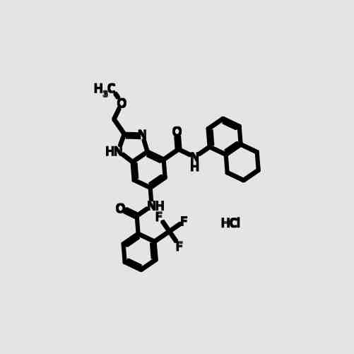 COCc1nc2c(C(=O)Nc3cccc4c3CCCC4)cc(NC(=O)c3ccccc3C(F)(F)F)cc2[nH]1.Cl